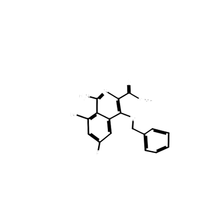 COC(=O)c1nc(N)c2c(Br)cc(F)cc2c1OCc1ccccc1